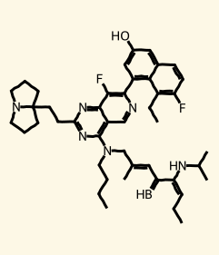 B=C(/C=C(\C)CN(CCCC)c1nc(CCC23CCCN2CCC3)nc2c(F)c(-c3cc(O)cc4ccc(F)c(CC)c34)ncc12)/C(=C\CC)NC(C)C